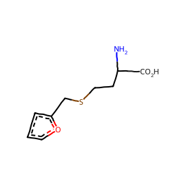 NC(CCSCc1ccco1)C(=O)O